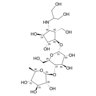 C[C@H]1O[C@@H](O[C@H]2[C@H](O)[C@@H](O)[C@@H](O[C@H]3[C@H](O)[C@@H](O)[C@H](NC(CO)CO)[C@@H]3CO)O[C@@H]2CO)[C@H](O)[C@@H](O)[C@@H]1O